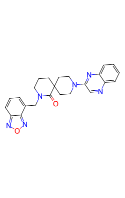 O=C1N(Cc2cccc3nonc23)CCCC12CCN(c1cnc3ccccc3n1)CC2